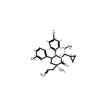 C=CC[C@@]1(C)CC(c2cccc(Cl)c2)[C@@H](c2ccc(Cl)cc2)N([C@H](CO)C2CC2)C1=O